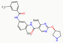 CNc1nc(O[C@H]2CCNC2)ncc1C(=O)Nc1cc(NC(=O)c2cccc(C(F)(F)F)c2)ccc1C